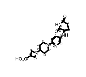 O=C1CCC(Nc2ccc(N3CCC(N4CC(C(=O)O)C4)CC3)nc2)C(=O)N1